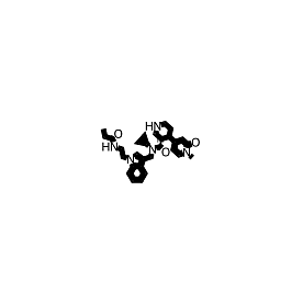 CCC(=O)NCCn1cc(CN(C(=O)[C@H]2CNCCC2c2ccn(C)c(=O)c2)C2CC2)c2ccccc21